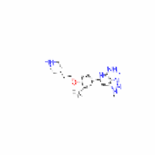 Cn1nnc2c(N)nc(-c3ccc(OCCC4CCNCC4)c(C(F)(F)F)c3)cc21